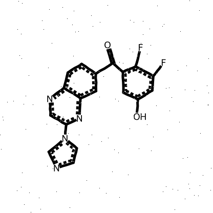 O=C(c1ccc2ncc(-n3ccnc3)nc2c1)c1cc(O)cc(F)c1F